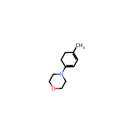 CC1=CC=C(N2CCOCC2)CC1